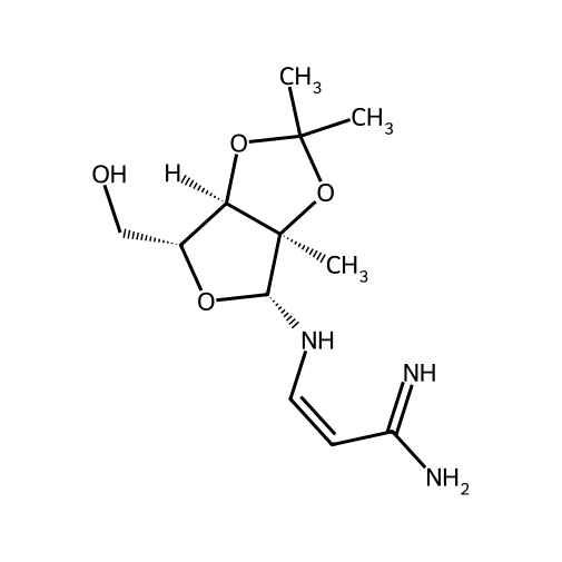 CC1(C)O[C@@H]2[C@@H](CO)O[C@@H](N/C=C\C(=N)N)[C@]2(C)O1